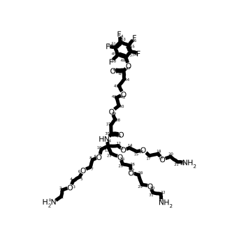 NCCOCCOCCOCC(COCCOCCOCCN)(COCCOCCOCCN)NC(=O)CCOCCOCCC(=O)Oc1c(F)c(F)c(F)c(F)c1F